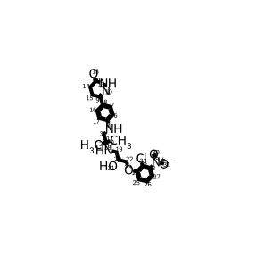 CC(C)(CNc1ccc(C2=NNC(=O)CC2)cc1)NCC(O)COc1cccc([N+](=O)[O-])c1Cl